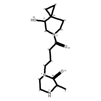 CC1NCCN(CCCC(=O)N2CCC3(CC3)C(O)C2)C1=O